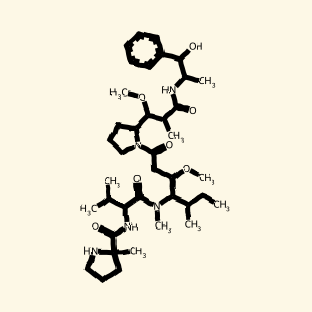 CCC(C)C(C(CC(=O)N1CCCC1C(OC)C(C)C(=O)NC(C)C(O)c1ccccc1)OC)N(C)C(=O)C(NC(=O)C1(C)CCCN1)C(C)C